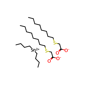 CCCCCCCCSCC(=O)[O-].CCCCCCCCSCC(=O)[O-].CCC[CH2][Sn+2][CH2]CCC